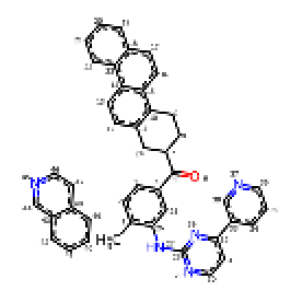 Cc1ccc(C(=O)C2CCc3c(ccc4c3ccc3ccccc34)C2)cc1Nc1nccc(-c2cccnc2)n1.c1ccc2cnccc2c1